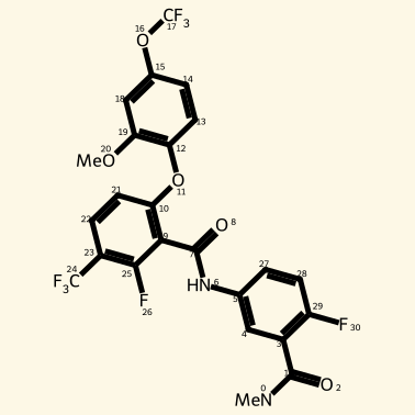 CNC(=O)c1cc(NC(=O)c2c(Oc3ccc(OC(F)(F)F)cc3OC)ccc(C(F)(F)F)c2F)ccc1F